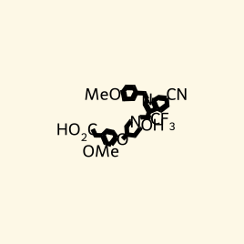 COc1ccc(Cn2cc(C(O)(CN3CCC(Oc4ccc(CC(=O)O)cc4OC)CC3)C(F)(F)F)c3ccc(C#N)cc32)cc1